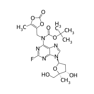 Cc1oc(=O)oc1CN(C(=O)OC(C)(C)C)c1nc(F)nc2c1ncn2[C@H]1C[C@H](O)[C@@](C)(CO)O1